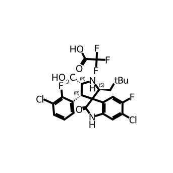 CC(C)(C)C[C@@H]1N[C@@H](C(=O)O)[C@@H](c2cccc(Cl)c2F)C12C(=O)Nc1cc(Cl)c(F)cc12.O=C(O)C(F)(F)F